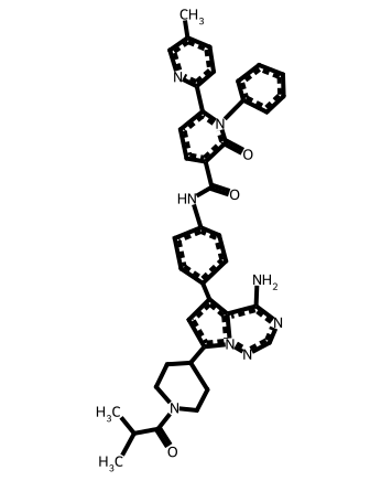 Cc1ccc(-c2ccc(C(=O)Nc3ccc(-c4cc(C5CCN(C(=O)C(C)C)CC5)n5ncnc(N)c45)cc3)c(=O)n2-c2ccccc2)nc1